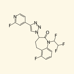 O=C1C(n2cc(-c3ccnc(F)c3)nn2)CCc2c(F)cccc2N1C(F)C(F)F